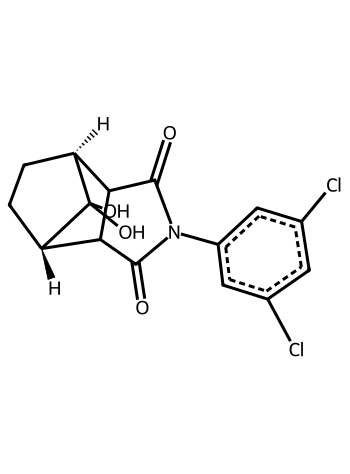 O=C1C2C(C(=O)N1c1cc(Cl)cc(Cl)c1)[C@@H]1CC[C@@H]2C1(O)O